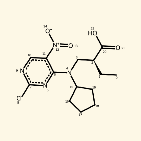 CC[C@@H](CN(c1nc(Cl)ncc1[N+](=O)[O-])C1CCCC1)C(=O)O